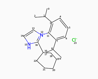 CC(C)c1cccc(C(C)C)c1-[n+]1cc[nH]c1C1CCCCC1.[Cl-]